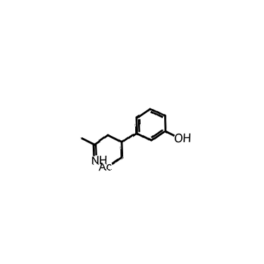 CC(=N)CC(CC(C)=O)c1cccc(O)c1